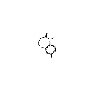 CN1C(=O)[C@@H](N)COc2cc(O)ccc21